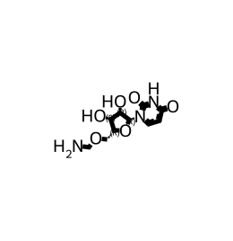 NCOC[C@H]1O[C@@H](n2ccc(=O)[nH]c2=O)[C@H](O)[C@@H]1O